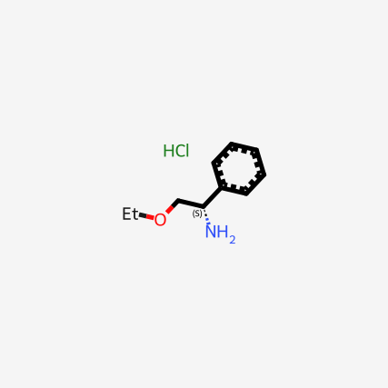 CCOC[C@@H](N)c1ccccc1.Cl